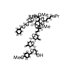 C=C1C[C@H](C[C@@H]2CC(=C)C[C@H](/C=C/C(C)(C)[C@]3(OC)O[C@H](C[C@@H](O[Si](C)(C)C(C)(C)C)[C@@H](C)OCOCc4ccccc4)C/C(=C\C(=O)OC)[C@@H]3OC(=O)/C=C/C=C/CCC)O2)O[C@H](C[C@H](CCO)OCc2ccc(OC)cc2)C1